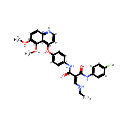 CCN/C=C(\C(=O)Nc1ccc(F)cc1)C(=O)Nc1ccc(Oc2ccnc3ccc(OC)c(OC)c23)cc1